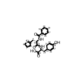 O=C(N[C@@H](Cc1cccs1)C(=O)N[C@@H](CC1C=CC(O)=CC1)C(=O)O)c1ccccc1